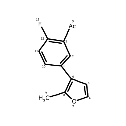 CC(=O)c1cc(-c2ccoc2C)ccc1F